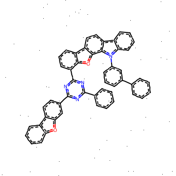 c1ccc(-c2cccc(-n3c4ccccc4c4ccc5c6cccc(-c7nc(-c8ccccc8)nc(-c8ccc9c(c8)oc8ccccc89)n7)c6oc5c43)c2)cc1